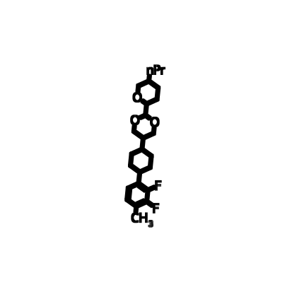 CCCC1CCC(C2OCC(C3CCC(c4ccc(C)c(F)c4F)CC3)CO2)OC1